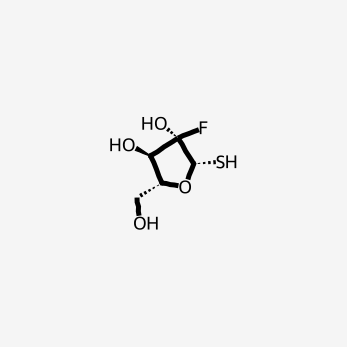 OC[C@H]1O[C@@H](S)[C@](O)(F)[C@@H]1O